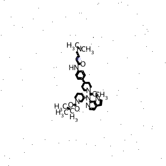 CN(C)C/C=C/C(=O)Nc1ccc(C2CCN(C(=O)N(c3nccc4ccn(C)c34)[C@H]3CCCN(C(=O)OC(C)(C)C)C3)CC2)cc1